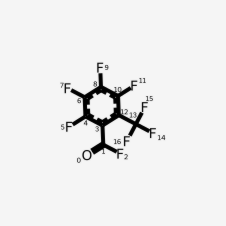 O=C(F)c1c(F)c(F)c(F)c(F)c1C(F)(F)F